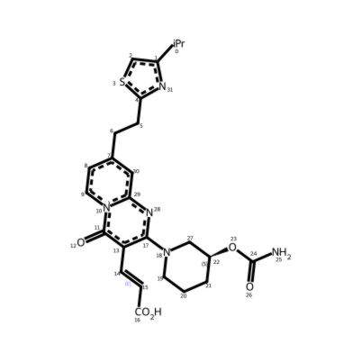 CC(C)c1csc(CCc2ccn3c(=O)c(/C=C/C(=O)O)c(N4CCC[C@H](OC(N)=O)C4)nc3c2)n1